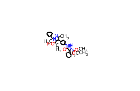 Cc1nn(C(C)c2ccccc2)c(C(C)O)c1-c1ccc(NC(=O)[C@@H](NC(=O)OC(C)(C)C)C2CCCCC2)cc1